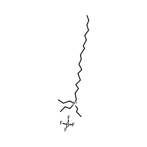 CCCCCCCCCCCCCCCCCC[P+](CCC)(CCC)CCC.F[B-](F)(F)F